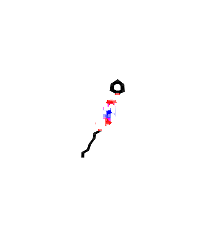 CCCCCCCOC(=O)N=NC(=O)Oc1ccccc1